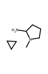 C1CC1.CN1CCCC1N